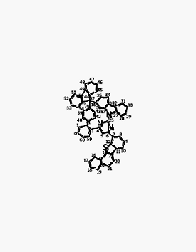 c1ccc(-c2cc(-c3cccc4c3sc3c5ccccc5ccc43)nc(-n3c4ccccc4c4ccc(C5(c6ccccc6)c6ccccc6-c6ccccc65)cc43)n2)cc1